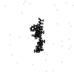 CC(C)C[C@H](C)/C=C/[C@H](Cc1ccccc1)C(=O)N1CCC[C@H]1C(=O)N[C@@H](CCCCNC(=O)OC1CC(C)(C)N(O)C(C)(C)C1)C(=O)NC(C)(C)C